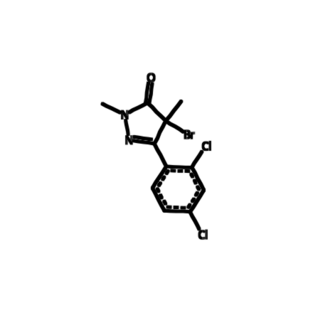 CN1N=C(c2ccc(Cl)cc2Cl)C(C)(Br)C1=O